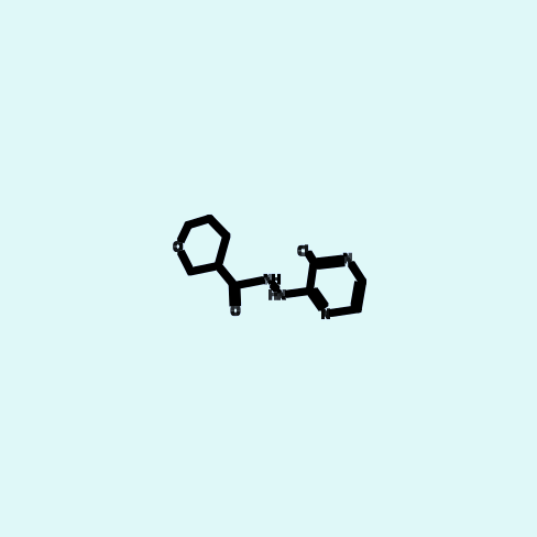 O=C(NNc1nccnc1Cl)C1CCCOC1